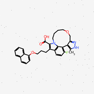 Cc1[nH]nc2c1-c1c(F)ccc3c(CCCOc4cccc5ccccc45)c(C(=O)O)n(c13)CCCCOC2